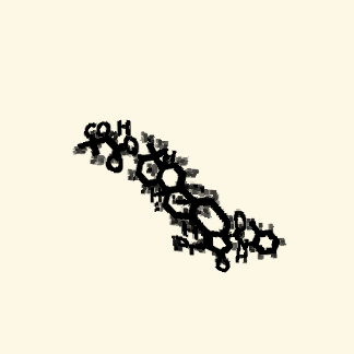 Cc1ccccc1NC(=O)[C@@]12CC[C@]3(C)[C@H](CC[C@@H]4[C@@]5(C)CC[C@H](OC(=O)CC(C)(C)C(=O)O)C(C)(C)[C@@H]5CC[C@]43C)C1=C(C(C)C)C(=O)C2